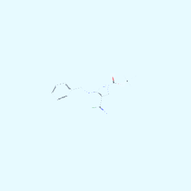 CC(C)(C)OC(=O)N1CC(NCc2ccccc2)=C(C(=N)Br)C1